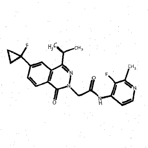 Cc1nccc(NC(=O)Cn2nc(C(C)C)c3cc(C4(F)CC4)ccc3c2=O)c1F